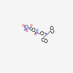 O=C1CCC(N2Cc3cc(C(=O)NCc4ccc(CN(CCc5cccc6ccccc56)CCc5cccc6ccccc56)cc4)ccc3C2=O)C(=O)N1